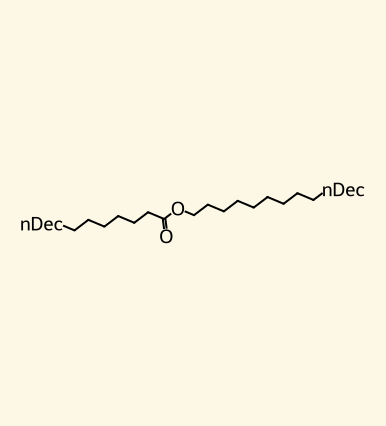 CCCCCCCCCCCCCCCCCCCOC(=O)CCCCCCCCCCCCCCCC